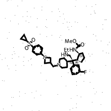 CCNC[C@@](c1cccc(F)c1)(C1CCN(CC2CN(c3ccc(S(=O)(=O)C4CC4)cc3)C2)CC1)[C@H]1CCC[C@@H]1NC(=O)OC